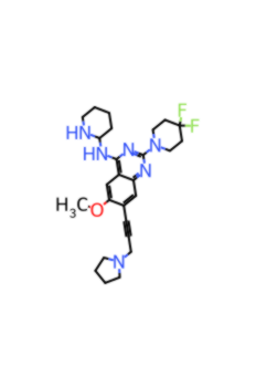 COc1cc2c(NC3CCCCN3)nc(N3CCC(F)(F)CC3)nc2cc1C#CCN1CCCC1